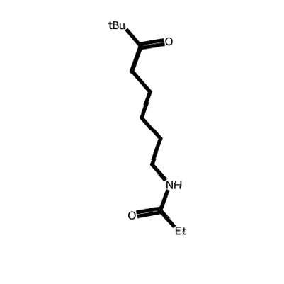 CCC(=O)NCCCCCC(=O)C(C)(C)C